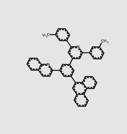 Cc1cccc(-c2cc(-c3cc(-c4ccc5ccccc5n4)cc(-c4cc5ccccc5c5ccccc45)c3)cc(-c3cccc(C)c3)n2)c1